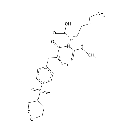 CNC(=S)N(C(=O)[C@@H](N)Cc1ccc(S(=O)(=O)N2CCOCC2)cc1)[C@@H](CCCCN)C(=O)O